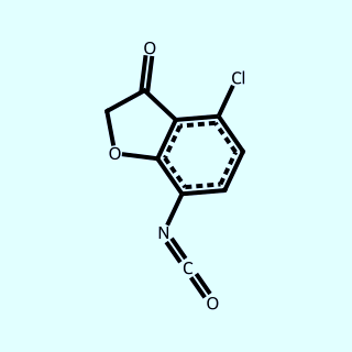 O=C=Nc1ccc(Cl)c2c1OCC2=O